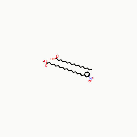 CCCCCCCCCCCCCCCCC(=O)O.COC(=O)CCCCCCCCCCCCCCC=Cc1cccc([N+](=O)[O-])c1